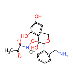 CC(=O)C(=O)N(C)OC1(O)c2c(O)cc(O)cc2COC1c1ccccc1CN